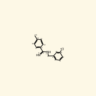 N=C(NCc1cccc(Cl)c1)c1ccc(I)cc1